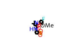 COc1cc(F)ccc1Oc1nc(C)c(C)cc1C(=O)Nc1cccc(S(C)(=O)=O)c1